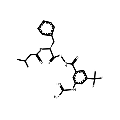 CC(C)CC(=O)N[C@@H](Cc1ccccc1)C(=O)ONC(=O)c1cc(NC(=N)N)cc(C(F)(F)F)c1